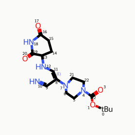 CC(C)(C)OC(=O)N1CCN(/C(C=N)=C/NC2CCC(=O)NC2=O)CC1